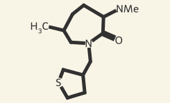 CNC1CCC(C)CN(CC2CCSC2)C1=O